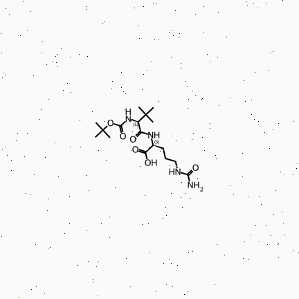 CC(C)(C)OC(=O)N[C@H](C(=O)N[C@@H](CCCNC(N)=O)C(=O)O)C(C)(C)C